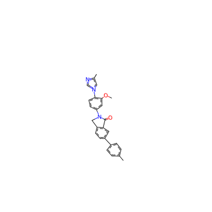 COc1cc(N2Cc3ccc(-c4ccc(C)cc4)cc3C2=O)ccc1-n1cnc(C)c1